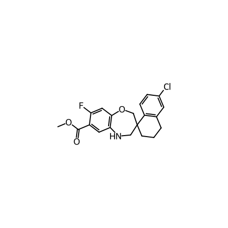 COC(=O)c1cc2c(cc1F)OCC1(CCCc3cc(Cl)ccc31)CN2